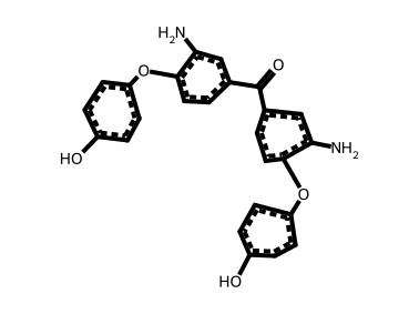 Nc1cc(C(=O)c2ccc(Oc3ccc(O)cc3)c(N)c2)ccc1Oc1ccc(O)cc1